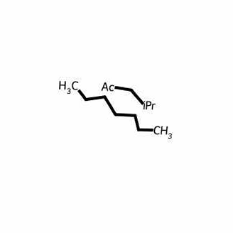 CC(=O)CC(C)C.CCCCCCC